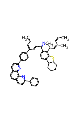 C=C\C=C(/C=C/C(=N/C)c1ccc2c(c1C(C)/C=C(C)\C=C/C)SC1CCCCC21)c1ccc(-c2ccc3ccc4ccc(-c5ccccc5)nc4c3n2)cc1